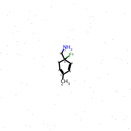 CC1=CCC(F)(CN)C=C1